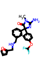 CN1C(=O)C(c2ccc(OC(F)F)cc2)(c2cccc(CNCc3ccco3)c2)N=C1N